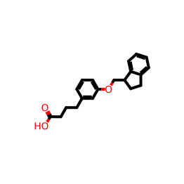 O=C(O)CCCc1cccc(OCC2CCc3ccccc32)c1